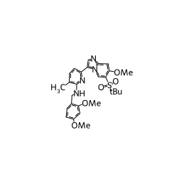 COc1ccc(CNc2nc(-c3cnc4cc(OC)c(S(=O)(=O)C(C)(C)C)cn34)ccc2C)c(OC)c1